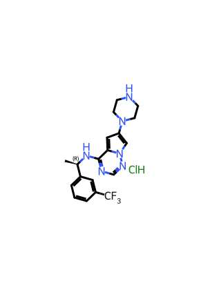 C[C@@H](Nc1ncnn2cc(N3CCNCC3)cc12)c1cccc(C(F)(F)F)c1.Cl